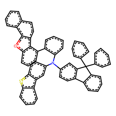 c1ccc(C2(c3ccccc3)c3ccccc3-c3ccc(N(c4ccc5sc6ccccc6c5c4)c4ccccc4-c4cccc5oc6c7ccccc7ccc6c45)cc32)cc1